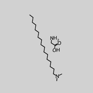 CCCCCCCCCCCCCCCCCN(C)C.NCC(=O)O